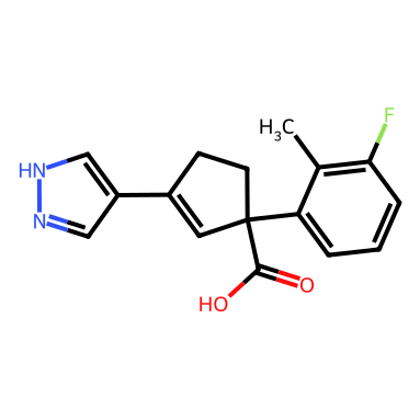 Cc1c(F)cccc1C1(C(=O)O)C=C(c2cn[nH]c2)CC1